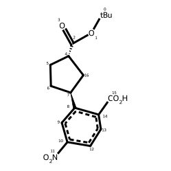 CC(C)(C)OC(=O)[C@H]1CC[C@H](c2cc([N+](=O)[O-])ccc2C(=O)O)C1